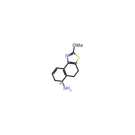 COc1nc2c(s1)CCC1=C2C=CC[C@@H]1N